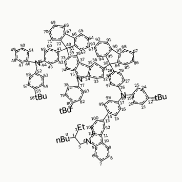 CCCCC(CC)Cn1c2ccccc2c2cc(-c3ccc(N(c4ccc(C(C)(C)C)cc4)c4ccc(C5(c6ccc7c(c6)c6cc(C8(c9ccc(N(c%10ccccc%10)c%10ccc(C(C)(C)C)cc%10)cc9)c9ccccc9-c9ccccc98)ccc6n7-c6ccc(C(C)(C)C)cc6)c6ccccc6-c6ccccc65)cc4)cc3)ccc21